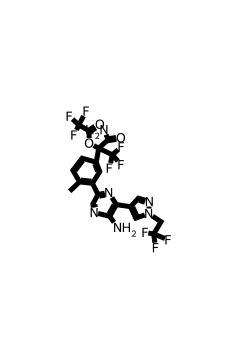 Cc1ccc(C(OC(=O)C(F)(F)F)(C(N)=O)C(F)(F)F)cc1-c1cnc(N)c(-c2cnn(CC(F)(F)F)c2)n1